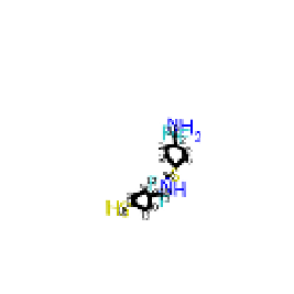 NC(F)(F)C1CCC(SCNC(F)(F)C2CCC(S)CC2)CC1